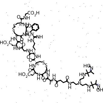 C/C(=N/O)C(C)(C)NCCN(CCNC(=O)CCC(=O)N[C@@H](C)C(=O)N[C@H]1CSSC[C@@H](C(=O)N[C@@H](CCCNC(=N)N)C(=O)NCC(=O)N[C@@H](CC(=O)O)C(=O)N[C@H]2CSSC[C@@H](C(=O)NCC(=O)O)NC(=O)[C@H](Cc3ccccc3)NC2=O)NC(=O)[C@H](CC(=O)O)NC1=O)CCNC(C)(C)/C(C)=N\O